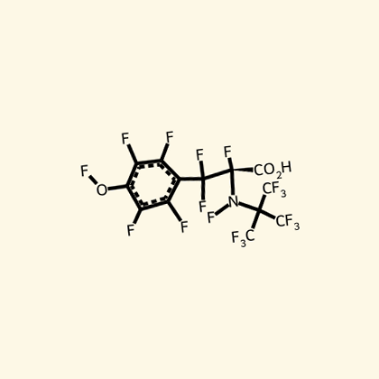 O=C(O)[C@@](F)(N(F)C(C(F)(F)F)(C(F)(F)F)C(F)(F)F)C(F)(F)c1c(F)c(F)c(OF)c(F)c1F